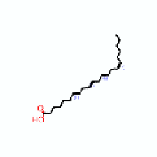 CCCCC/C=C\C/C=C/C/C=C/C/C=C/CCCCCC(=O)O